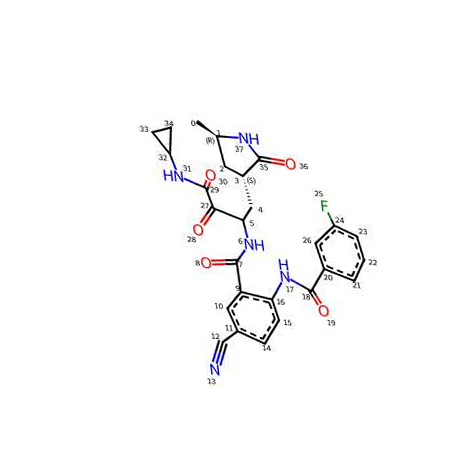 C[C@@H]1C[C@@H](CC(NC(=O)c2cc(C#N)ccc2NC(=O)c2cccc(F)c2)C(=O)C(=O)NC2CC2)C(=O)N1